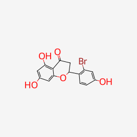 O=C1CC(c2ccc(O)cc2Br)Oc2cc(O)cc(O)c21